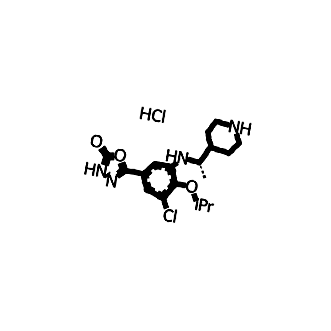 CC(C)Oc1c(Cl)cc(-c2n[nH]c(=O)o2)cc1N[C@@H](C)C1CCNCC1.Cl